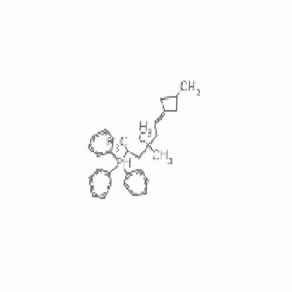 CC1CC(=CCC(C)(C)CC(C)[PH](c2ccccc2)(c2ccccc2)c2ccccc2)C1